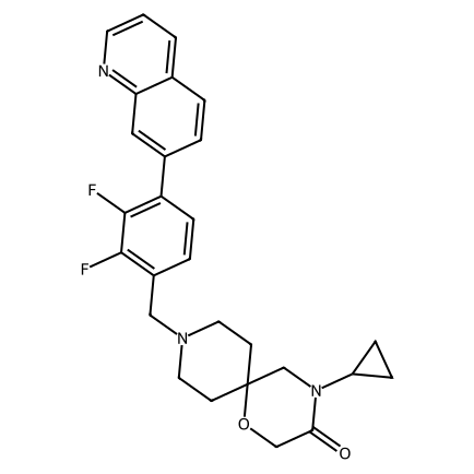 O=C1COC2(CCN(Cc3ccc(-c4ccc5cccnc5c4)c(F)c3F)CC2)CN1C1CC1